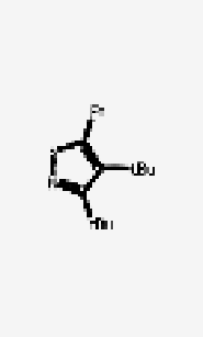 CCc1snc(C(C)(C)C)c1C(C)(C)C